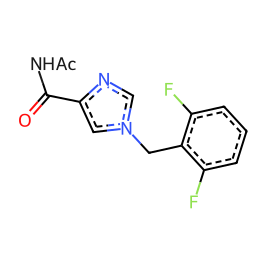 CC(=O)NC(=O)c1cn(Cc2c(F)cccc2F)cn1